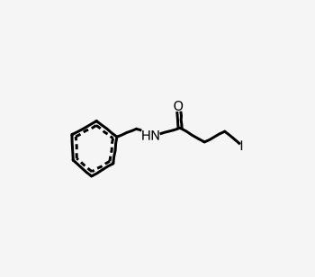 O=C(CCI)NCc1ccccc1